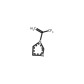 C=C(n1ccnc1)C(F)(F)F